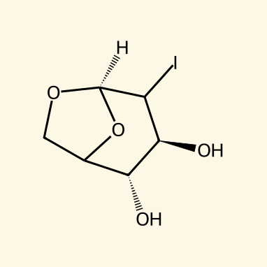 O[C@@H]1C2CO[C@H](O2)C(I)[C@H]1O